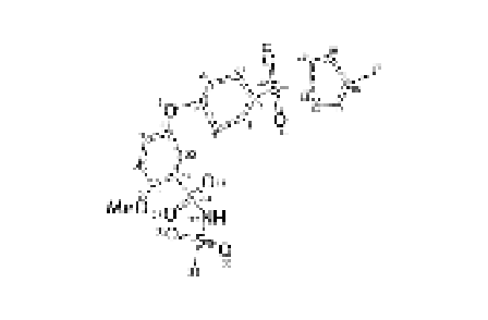 COc1ccc(Oc2ccc(S(=O)(=O)c3ccc(C)cc3)cc2)cc1S(=O)(=O)NS(C)(=O)=O